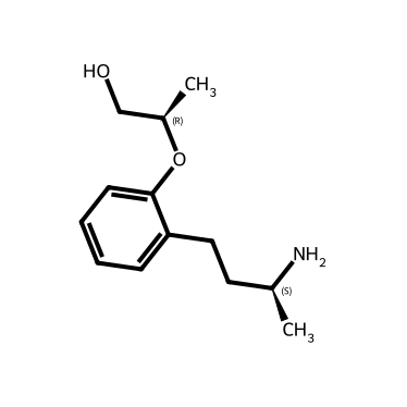 C[C@H](N)CCc1ccccc1O[C@H](C)CO